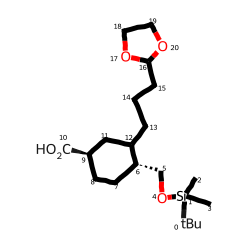 CC(C)(C)[Si](C)(C)OC[C@@H]1CC[C@@H](C(=O)O)CC1CCCC1OCCO1